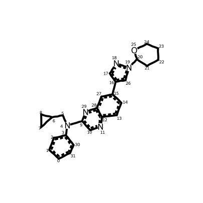 c1ccc(N(CC2CC2)c2cnc3ccc(-c4cnn(C5CCCCO5)c4)cc3n2)cc1